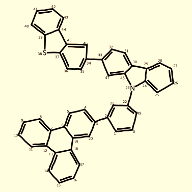 c1cc(-c2ccc3c4ccccc4c4ccccc4c3c2)cc(-n2c3ccccc3c3ccc(-c4ccc5sc6ccccc6c5c4)cc32)c1